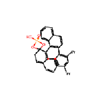 CC(C)c1cc(C(C)C)c(-c2ccc3ccccc3c2C2=c3ccccc3=CCC23OP(=O)(O)O3)c(C(C)C)c1